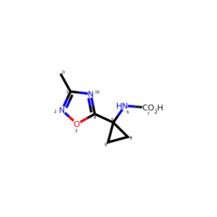 Cc1noc(C2(NC(=O)O)CC2)n1